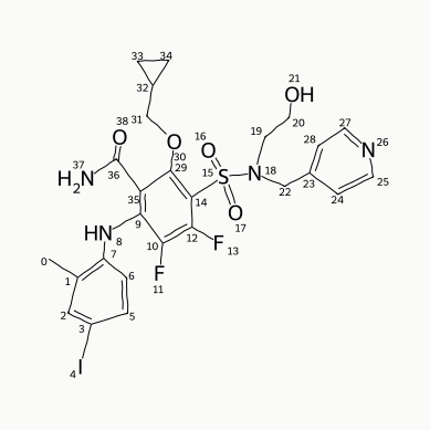 Cc1cc(I)ccc1Nc1c(F)c(F)c(S(=O)(=O)N(CCO)Cc2ccncc2)c(OCC2CC2)c1C(N)=O